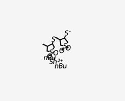 CC1CS(=O)(=O)CC1[S-].CC1CS(=O)(=O)CC1[S-].CCC[CH2][Sn+2][CH2]CCC